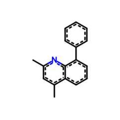 Cc1cc(C)c2cccc(-c3ccccc3)c2n1